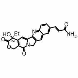 CC[C@@]1(O)C(=O)OCc2c1cc1n(c2=O)Cc2cc3cc(C=CC(N)=O)ccc3nc2-1